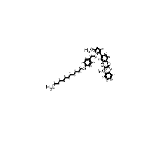 CCCCCCCCCCCCOc1ccc(CCn2c(C)ccc2-c2ccc(O[C@H](Cc3ccccc3)C(=O)O)cc2)cc1